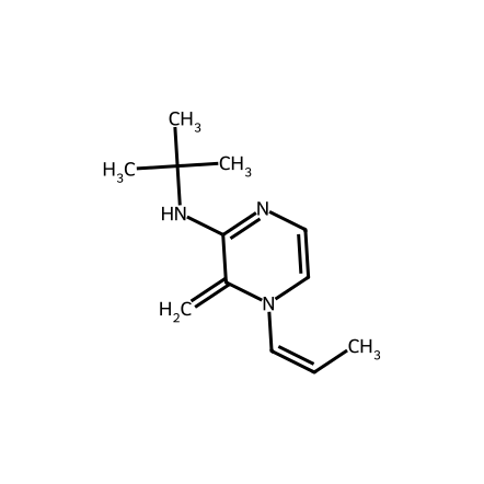 C=C1C(NC(C)(C)C)=NC=CN1/C=C\C